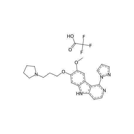 COc1cc2c(cc1OCCCN1CCCC1)[nH]c1ccnc(-n3cccn3)c12.O=C(O)C(F)(F)F